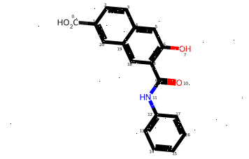 O=C(O)c1ccc2cc(O)c(C(=O)Nc3ccccc3)cc2c1